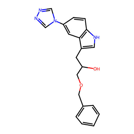 OC(COCc1ccccc1)Cc1c[nH]c2ccc(-n3cnnc3)cc12